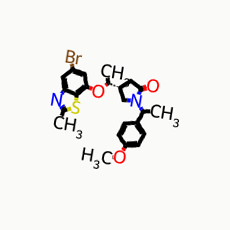 COc1ccc(C(C)N2C[C@H](C(C)Oc3cc(Br)cc4nc(C)sc34)CC2=O)cc1